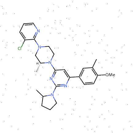 COc1ccc(-c2cc(N3CCN(c4ncccc4Cl)C[C@H]3C)nc(N3CCCC3C)n2)cc1C